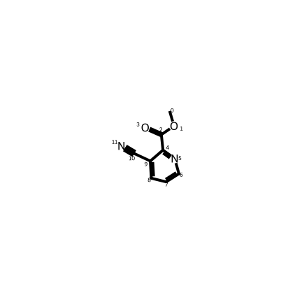 COC(=O)c1ncccc1C#N